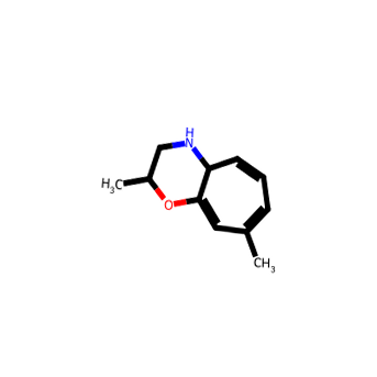 CC1=CC=CC2NCC(C)OC2=C1